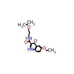 CCOc1ccc2[nH]cc(C(=O)NCCCOC(C)C)c(=O)c2c1